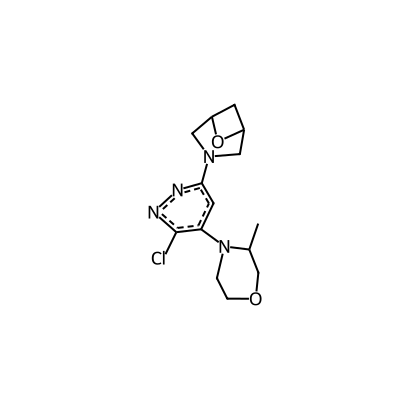 CC1COCCN1c1cc(N2CC3CC(C2)O3)nnc1Cl